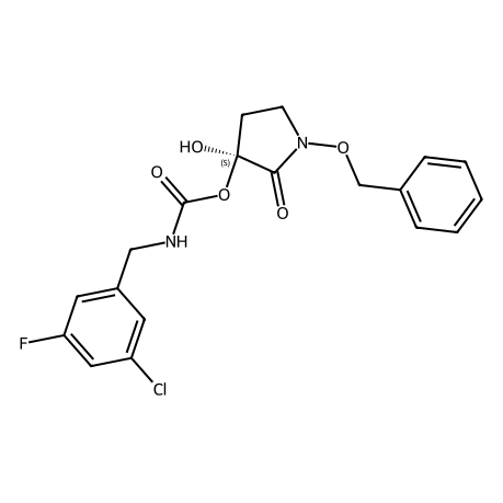 O=C(NCc1cc(F)cc(Cl)c1)O[C@@]1(O)CCN(OCc2ccccc2)C1=O